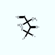 CC(C)([C]=O)C(=O)C(F)(F)F